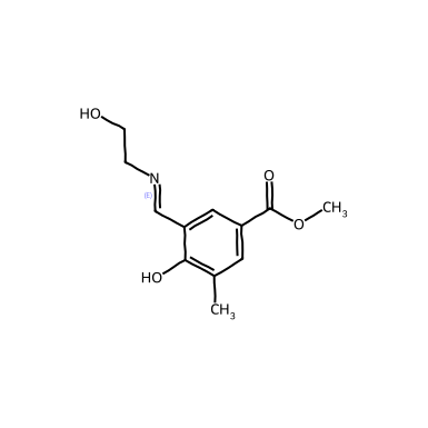 COC(=O)c1cc(C)c(O)c(/C=N/CCO)c1